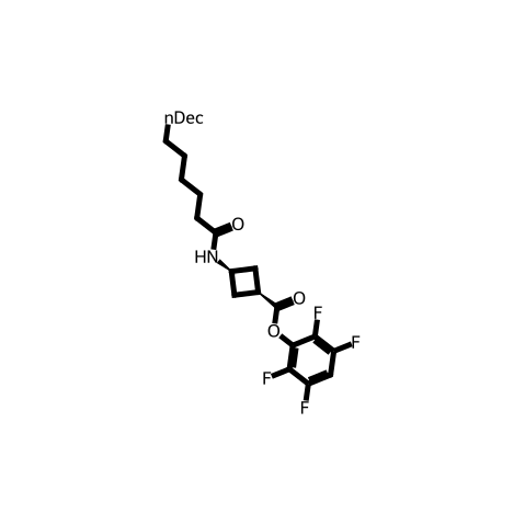 CCCCCCCCCCCCCCCC(=O)N[C@H]1C[C@@H](C(=O)Oc2c(F)c(F)cc(F)c2F)C1